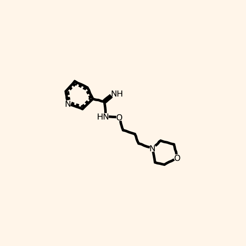 N=C(NOCCCN1CCOCC1)c1cccnc1